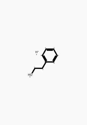 OCCc1ccccc1.[H+]